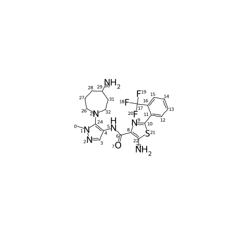 Cn1ncc(NC(=O)c2nc(-c3ccccc3C(F)(F)F)sc2N)c1N1CCCC(N)CC1